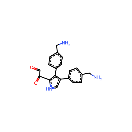 NCc1ccc(-c2c[nH]c(C(=O)C=O)c2-c2ccc(CN)cc2)cc1